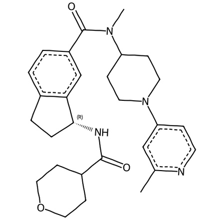 Cc1cc(N2CCC(N(C)C(=O)c3ccc4c(c3)[C@H](NC(=O)C3CCOCC3)CC4)CC2)ccn1